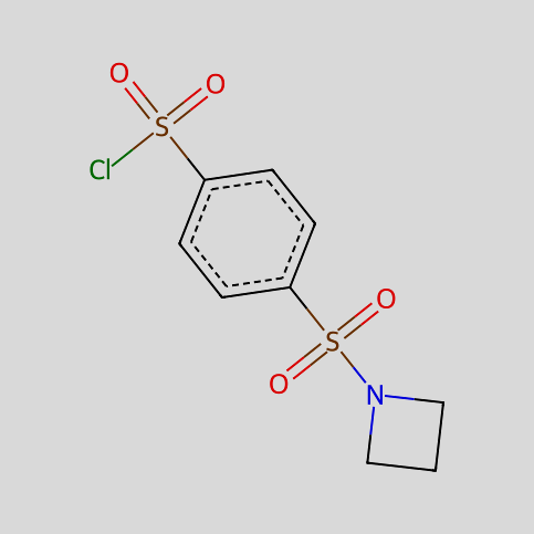 O=S(=O)(Cl)c1ccc(S(=O)(=O)N2CCC2)cc1